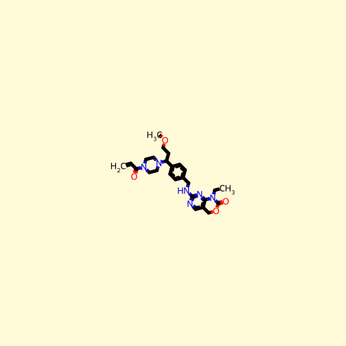 C=CC(=O)N1CCN(C(CCOC)c2ccc(CNc3ncc4c(n3)N(CC)C(=O)OC4)cc2)CC1